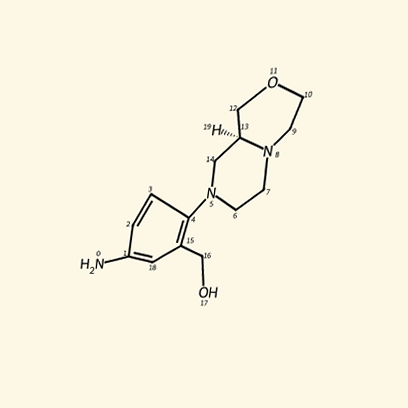 Nc1ccc(N2CCN3CCOC[C@@H]3C2)c(CO)c1